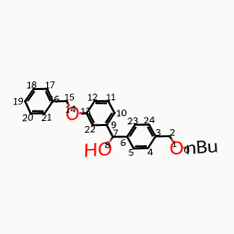 CCCCOCc1ccc(C(O)c2cccc(OCc3ccccc3)c2)cc1